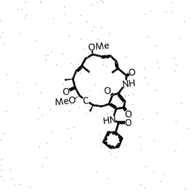 CO[C@H]1C[C@H](C)CC2=C(NC(=O)c3ccccc3)C(=O)C=C(NC(=O)/C(C)=C/C=C\[C@H](OC)C/C(C)=C/[C@H](C)C1=O)C2=O